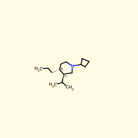 CCC[C@@H]1CCN(C2CCC2)C[C@H]1C(C)C